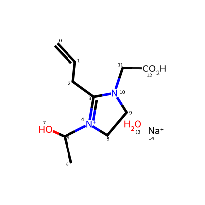 C=CCC1=[N+](C(C)O)CCN1CC(=O)O.O.[Na+]